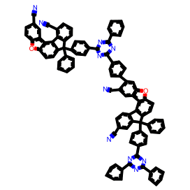 N#Cc1ccc2c(c1)C(c1ccccc1)(c1ccc(-c3nc(-c4ccccc4)nc(-c4ccccc4)n3)cc1)c1ccc3oc4cc(-c5ccc(-c6nc(-c7ccccc7)nc(-c7ccc(C8(c9ccccc9)c9cccc(C#N)c9-c9c8ccc8oc%10ccc(C#N)cc%10c98)cc7)n6)cc5)c(C#N)cc4c3c1-2